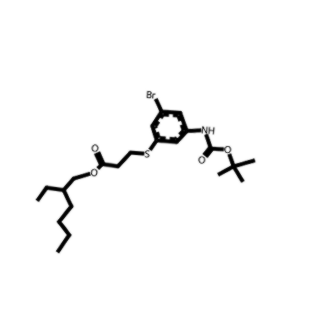 CCCCC(CC)COC(=O)CCSc1cc(Br)cc(NC(=O)OC(C)(C)C)c1